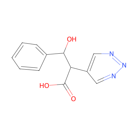 O=C(O)C(c1cnnnc1)C(O)c1ccccc1